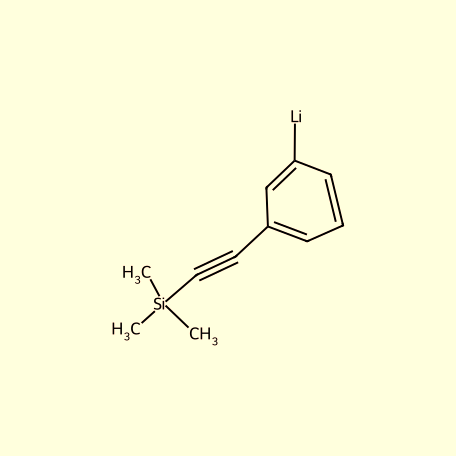 [Li][c]1cccc(C#C[Si](C)(C)C)c1